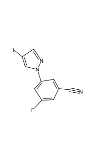 N#Cc1cc(F)cc(-n2cc(I)cn2)c1